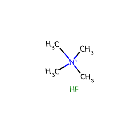 C[N+](C)(C)C.F